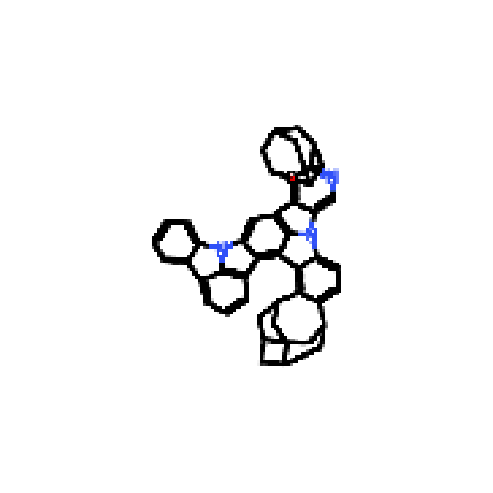 c1ccc2c(c1)c1cccc3c4c5c6c7c(ccc6n6c8cnc9c(c8c(cc4n2c13)c56)C1CC2CC(CC9C2)C1)C1CC2CC3CC7CC23C1